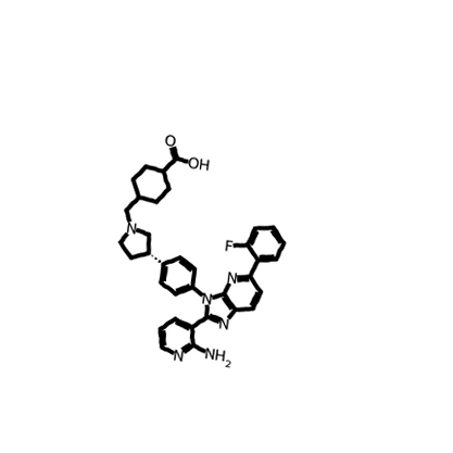 Nc1ncccc1-c1nc2ccc(-c3ccccc3F)nc2n1-c1ccc([C@@H]2CCN(CC3CCC(C(=O)O)CC3)C2)cc1